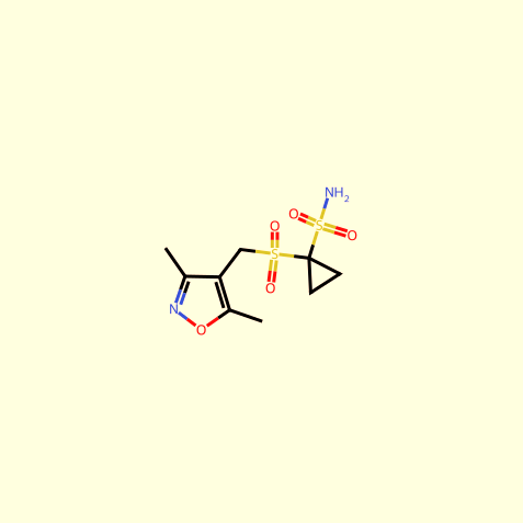 Cc1noc(C)c1CS(=O)(=O)C1(S(N)(=O)=O)CC1